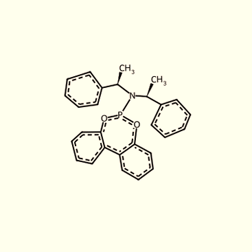 C[C@H](c1ccccc1)N([C@@H](C)c1ccccc1)p1oc2ccccc2c2ccccc2o1